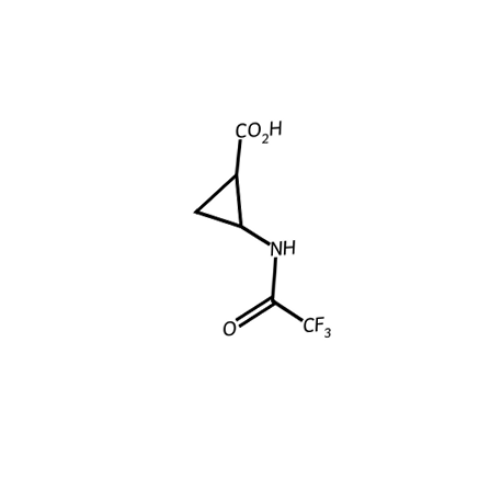 O=C(O)C1CC1NC(=O)C(F)(F)F